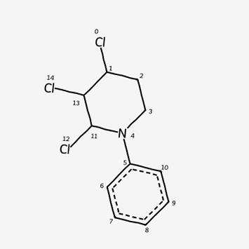 ClC1CCN(c2ccccc2)C(Cl)C1Cl